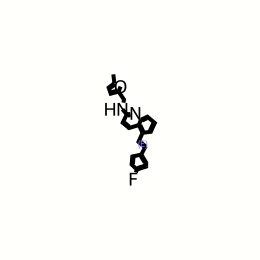 Cc1ccc(CNc2ccc3c(/C=C/c4ccc(F)cc4)cccc3n2)o1